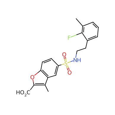 Cc1cccc(CCNS(=O)(=O)c2ccc3oc(C(=O)O)c(C)c3c2)c1F